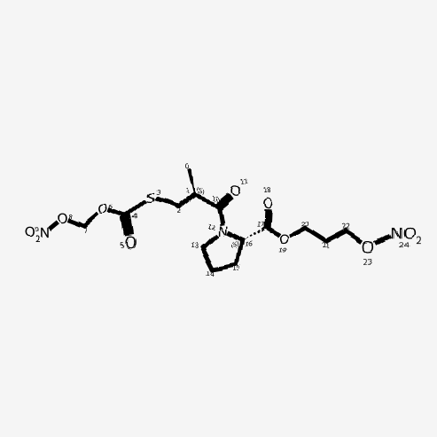 C[C@H](CSC(=O)OCO[N+](=O)[O-])C(=O)N1CCC[C@H]1C(=O)OCCCO[N+](=O)[O-]